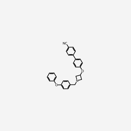 N#Cc1ccc(-c2ccc(OC3CN(Cc4ccc(Oc5ccccc5)cc4)C3)cc2)cc1